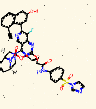 C#Cc1cccc2cc(O)cc(-c3ncc4c(N5C[C@H]6CC[C@@H](C5)N6C(=O)OCC=C)nc(OCC(=O)Nc5ccc(S(=O)(=O)n6ccnc6)cc5)nc4c3F)c12